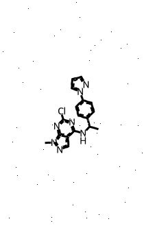 CC(Nc1nc(Cl)nc2c1cnn2C)c1ccc(-n2cccn2)cc1